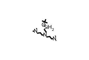 CN(C)CCCN(CCCN(C)C)CC[SiH2]OC(C)(C)C